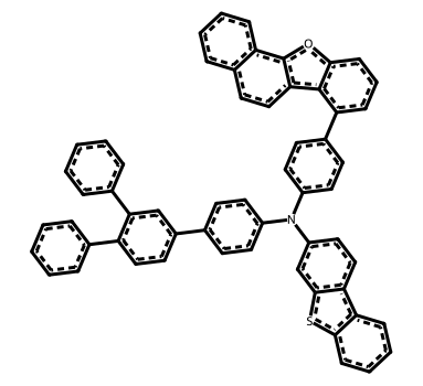 c1ccc(-c2ccc(-c3ccc(N(c4ccc(-c5cccc6oc7c8ccccc8ccc7c56)cc4)c4ccc5c(c4)sc4ccccc45)cc3)cc2-c2ccccc2)cc1